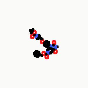 CN1C(=O)N(c2ccc(OCC3CN(C(=O)OC(C)(C)C)C3)cc2)C2(CCN(C(=O)OCc3ccccc3)CC2)C1=O